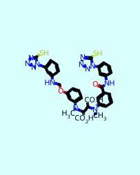 CN(c1cccc(OCNc2cccc(-n3nnnc3S)c2)c1)C(C(=O)O)C(C(=O)O)N(C)c1cccc(C(=O)Nc2cccc(-n3nnnc3S)c2)c1